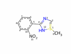 CS1=CN=C(c2ccccc2[N+](=O)[O-])N1